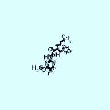 CCCCC[C@@H](CN(O)C=O)C(=O)NNc1ncc(F)c(OC)n1